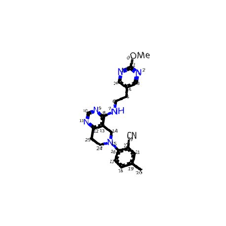 COc1ncc(CCNc2ncnc3c2CN(c2ccc(C)cc2C#N)CC3)cn1